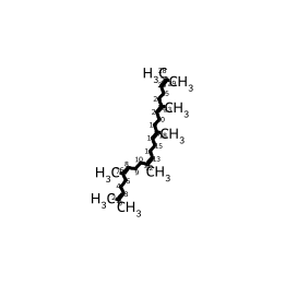 CC(C)=CCCC(C)=CCCC(C)=CC[CH]/C=C(\C)CC/C=C(\C)CCC=C(C)C